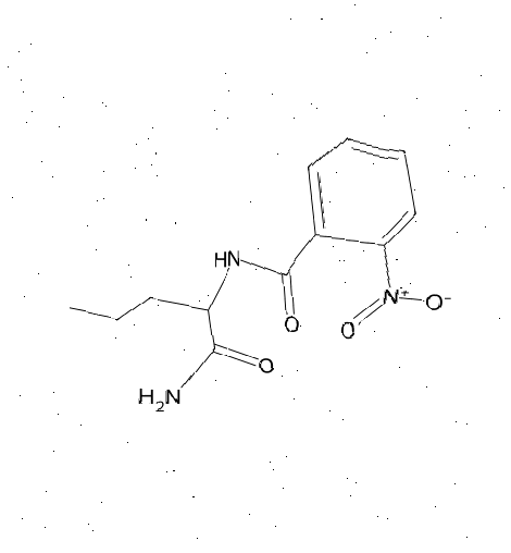 CCCC(NC(=O)c1ccccc1[N+](=O)[O-])C(N)=O